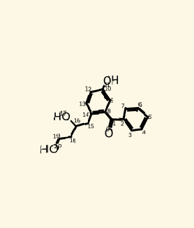 O=C(c1ccccc1)c1cc(O)ccc1CC(O)CCO